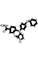 O=C(NO)c1ccc(N(c2ccc(Oc3ccccc3)cc2)C2CCNC2=O)cc1